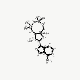 CC(C)[Si]1(C(C)C)OC[C@@H]2O[C@@H](c3snc4c(N)ncnc34)[C@H](O)C2O[Si](C(C)C)(C(C)C)O1